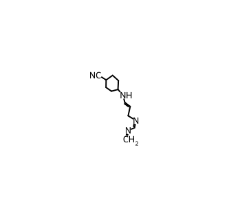 C=N/C=N\C/C=C/NC1CCC(C#N)CC1